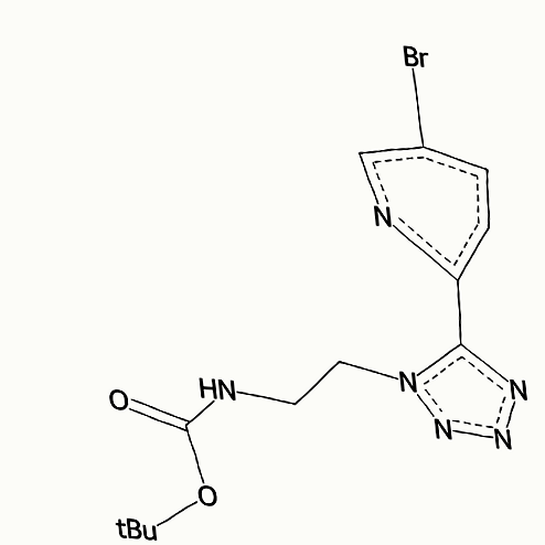 CC(C)(C)OC(=O)NCCn1nnnc1-c1ccc(Br)cn1